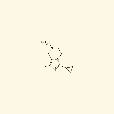 O=C(O)N1CCn2c(C3CC3)nc(I)c2C1